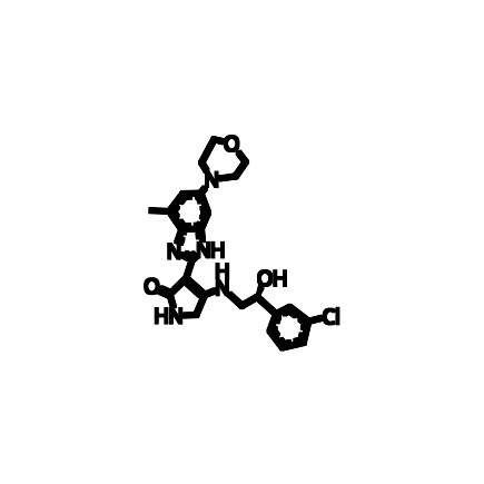 Cc1cc(N2CCOCC2)cc2[nH]c(C3=C(NC[C@@H](O)c4cccc(Cl)c4)CNC3=O)nc12